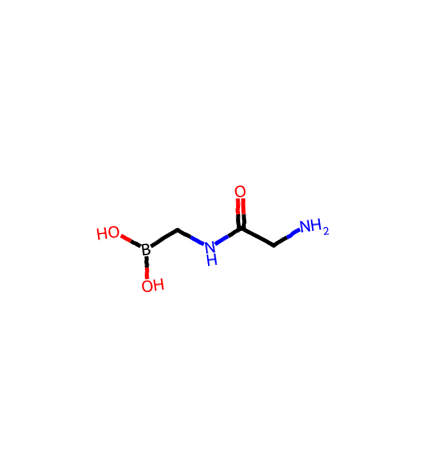 NCC(=O)NCB(O)O